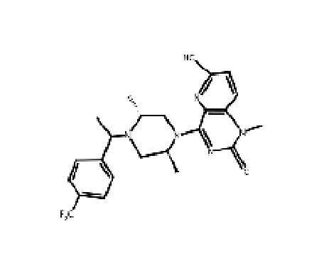 CC(c1ccc(C(F)(F)F)cc1)N1C[C@H](C)N(c2nc(=O)n(C)c3ccc(C#N)nc23)C[C@H]1C